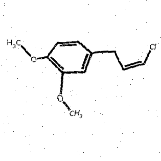 COc1ccc(C/C=C\Cl)cc1OC